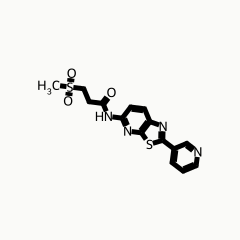 CS(=O)(=O)CCC(=O)Nc1ccc2nc(-c3cccnc3)sc2n1